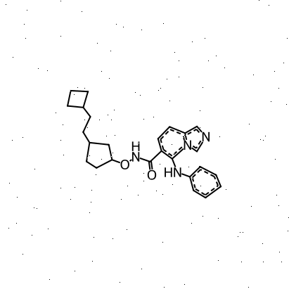 O=C(NOC1CCC(CCC2CCC2)C1)c1ccc2cncn2c1Nc1ccccc1